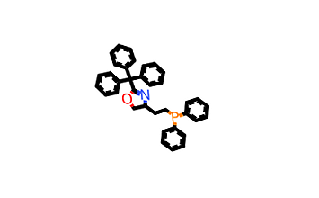 c1ccc(P(CCC2COC(C(c3ccccc3)(c3ccccc3)c3ccccc3)=N2)c2ccccc2)cc1